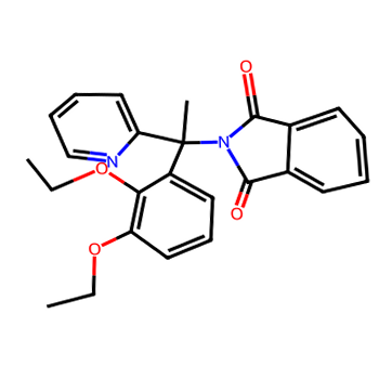 CCOc1cccc(C(C)(c2ccccn2)N2C(=O)c3ccccc3C2=O)c1OCC